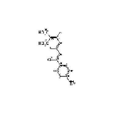 CC(/C=C(C)/C=C(\Cl)c1ccc(N)cc1)=C(C(=O)O)C(=O)O